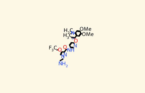 C=Nc1cc(OC)c(OC)cc1/C(=C\C)Oc1ccc(NC(=O)c2nn(CCN)cc2OCC(F)(F)F)cn1